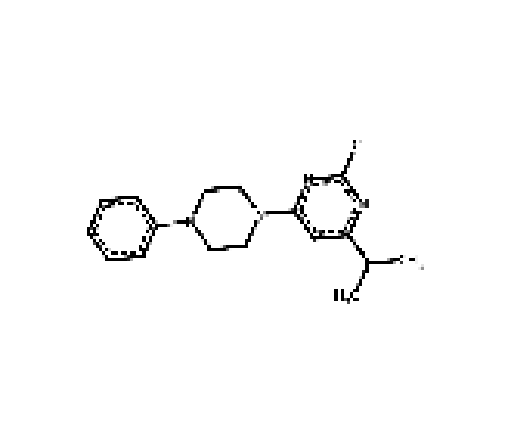 CC(C)c1cc(N2CCN(c3ccccc3)CC2)nc(Cl)n1